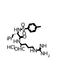 Cc1ccc(S(=O)(=O)N[C@@H](CC(C)C)C(=O)N[C@H](C=O)CCCNC(=N)N)cc1.Cl